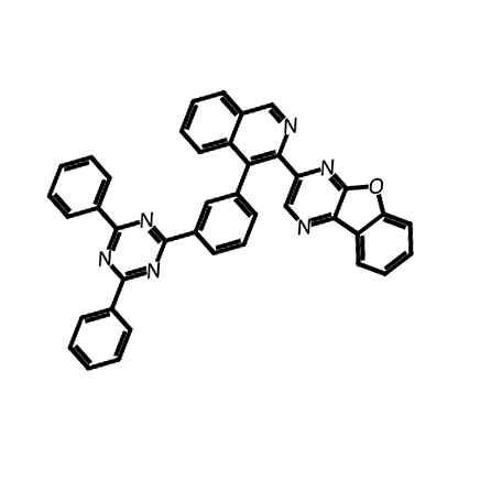 c1ccc(-c2nc(-c3ccccc3)nc(-c3cccc(-c4c(-c5cnc6c(n5)oc5ccccc56)ncc5ccccc45)c3)n2)cc1